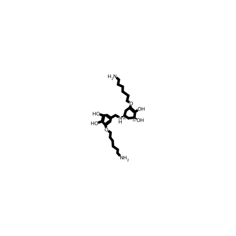 NCCCCCCOC1=C(O)[C@@H](O)C[C@@H](NCc2cc(O)c(O)c(OCCCCCCN)c2)C1